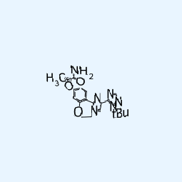 C[C@H](Oc1ccc2c(c1)OCCn1cc(-c3ncnn3C(C)(C)C)nc1-2)C(N)=O